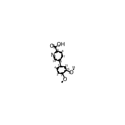 COc1ccc(-c2ccc(C(=O)O)nc2)cc1OC